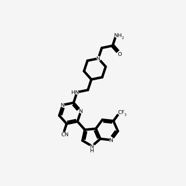 N#Cc1cnc(NCC2CCN(CC(N)=O)CC2)nc1-c1c[nH]c2ncc(C(F)(F)F)cc12